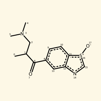 CC(CN(C)C)C(=O)c1ccc2c(c1)nc[s+]2[O-]